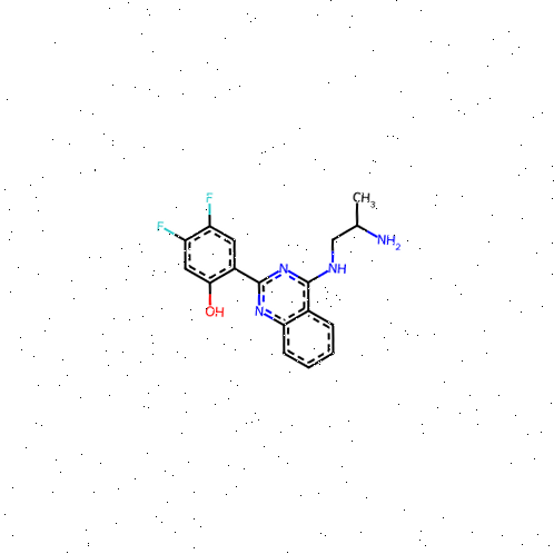 CC(N)CNc1nc(-c2cc(F)c(F)cc2O)nc2ccccc12